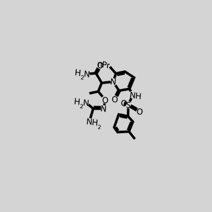 CCCc1ccc(NS(=O)(=O)c2cccc(C)c2)c(=O)n1C(C(N)=O)C(C)ON=C(N)N